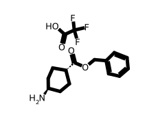 N[C@H]1CC[C@H](C(=O)OCc2ccccc2)CC1.O=C(O)C(F)(F)F